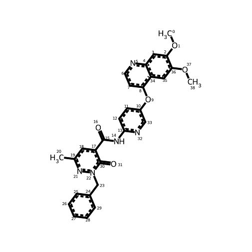 COc1cc2nccc(Oc3ccc(NC(=O)c4cc(C)nn(Cc5ccccc5)c4=O)nc3)c2cc1OC